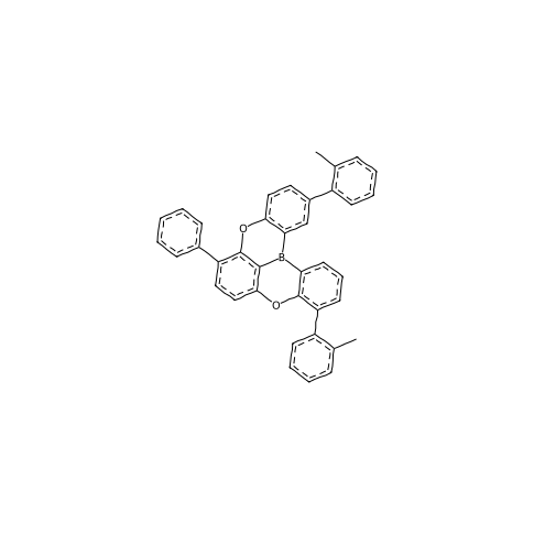 Cc1ccccc1-c1ccc2c(c1)B1c3cccc(-c4ccccc4C)c3Oc3ccc(-c4ccccc4)c(c31)O2